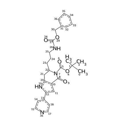 CC(C)(C)OC(=O)N1C(=O)c2cc(-c3ccncc3)[nH]c2CC1CCCNC(=O)OCc1ccccc1